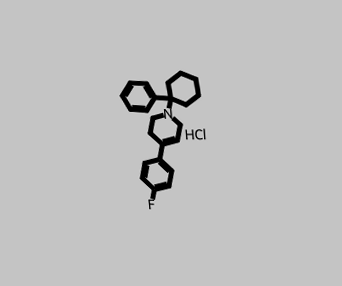 Cl.Fc1ccc(C2=CCN(C3(c4ccccc4)CCCCC3)CC2)cc1